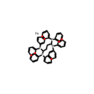 [Fe].c1ccc(P(c2ccccc2)C(CCC(P(c2ccccc2)c2ccccc2)P(c2ccccc2)c2ccccc2)P(c2ccccc2)c2ccccc2)cc1